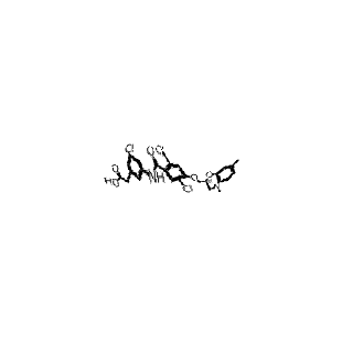 Cc1ccc2c(c1)O[C@H](COc1cc(Cl)c(C(=O)Nc3cc(Cl)cc(CC(=O)O)c3)cc1Cl)CN2C